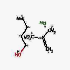 C=C(C)C(=O)O.CNCCCO.Cl